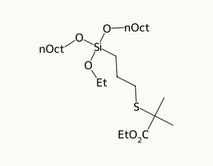 CCCCCCCCO[Si](CCCSC(C)(C)C(=O)OCC)(OCC)OCCCCCCCC